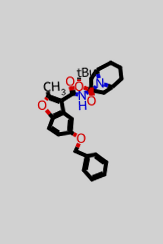 Cc1oc2ccc(OCc3ccccc3)cc2c1C(=O)NC1CC2CCCC(C1)N2C(=O)OC(C)(C)C